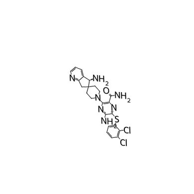 NC(=O)c1nc(Sc2cccc(Cl)c2Cl)c(N)nc1N1CCC2(CC1)Cc1ncccc1[C@H]2N